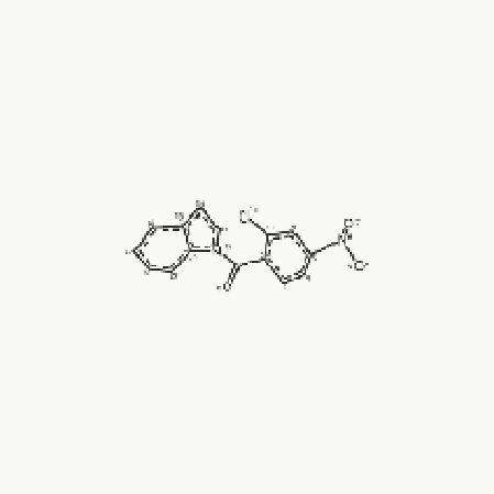 O=C(c1ccc([N+](=O)[O-])cc1Cl)n1ccc2ccccc21